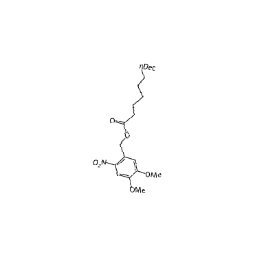 CCCCCCCCCCCCCCCC(=O)OCc1cc(OC)c(OC)cc1[N+](=O)[O-]